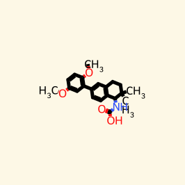 COc1ccc(OC)c(-c2ccc3c(c2)CCC(C)(C)C3NC(=O)O)c1